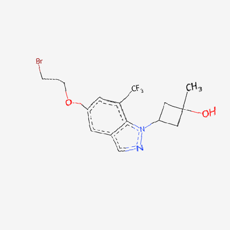 CC1(O)CC(n2ncc3cc(OCCBr)cc(C(F)(F)F)c32)C1